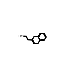 OCCC1=CCc2ccccc2C1